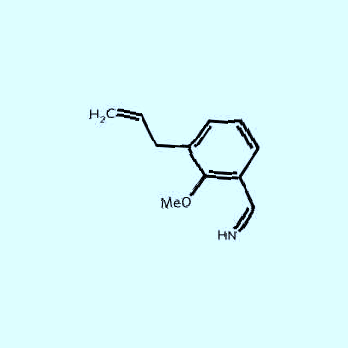 C=CCc1cccc(C=N)c1OC